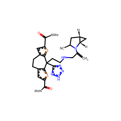 C=C(CNCCC1(c2nn[nH]n2)c2sc(C(=O)NC)cc2CCc2cc(C(=O)NC)sc21)N1C(C#N)C[C@@H]2C[C@@H]21